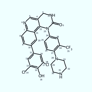 O=C1NCc2cnc3ccc(-c4cc(Cl)c(O)c(Cl)c4)cc3c2N1c1ccc(N2CCNCC2)c(C(F)(F)F)c1